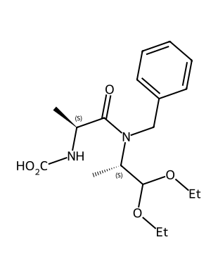 CCOC(OCC)[C@H](C)N(Cc1ccccc1)C(=O)[C@H](C)NC(=O)O